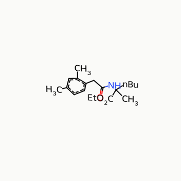 CCCCC(C)(NC(=O)Cc1ccc(C)cc1C)C(=O)OCC